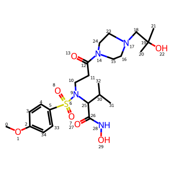 COc1ccc(S(=O)(=O)N(CCC(=O)N2CCN(CC(C)(C)O)CC2)C(C(=O)NO)C(C)C)cc1